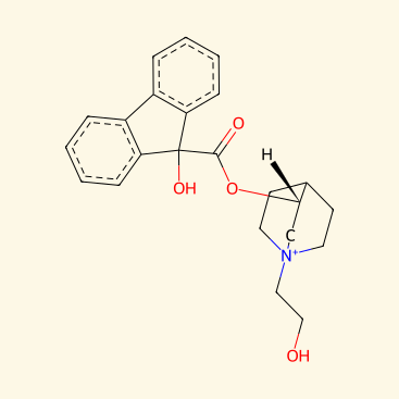 O=C(O[C@H]1C[N+]2(CCO)CCC1CC2)C1(O)c2ccccc2-c2ccccc21